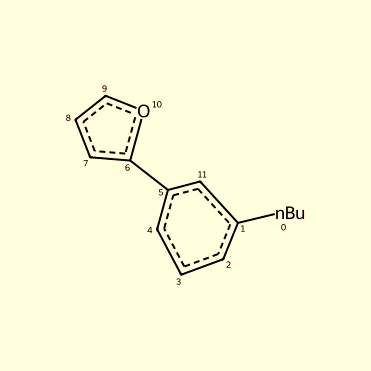 CCCCc1cccc(-c2ccco2)c1